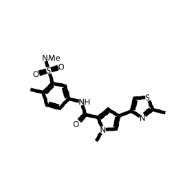 CNS(=O)(=O)c1cc(NC(=O)c2cc(-c3csc(C)n3)cn2C)ccc1C